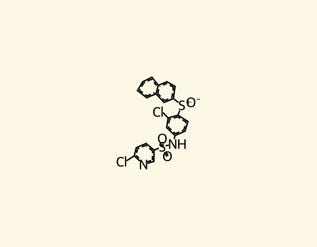 O=S(=O)(Nc1ccc([S+]([O-])c2ccc3ccccc3c2)c(Cl)c1)c1ccc(Cl)nc1